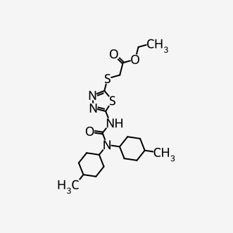 CCOC(=O)CSc1nnc(NC(=O)N(C2CCC(C)CC2)C2CCC(C)CC2)s1